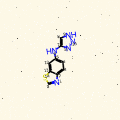 c1nc2ccc(Nc3c[nH]nn3)cc2s1